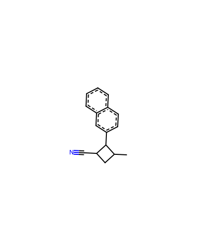 CC1CC(C#N)C1c1ccc2ccccc2c1